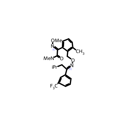 CNC(=O)/C(=N/OC)c1cccc(C)c1CO/N=C(\CC(C)C)c1cccc(C(F)(F)F)c1